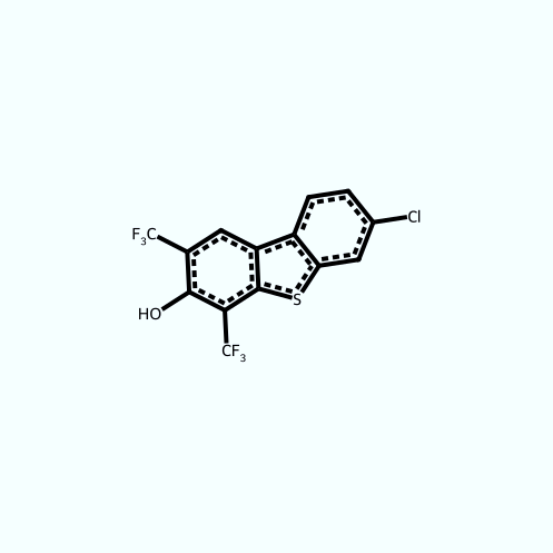 Oc1c(C(F)(F)F)cc2c(sc3cc(Cl)ccc32)c1C(F)(F)F